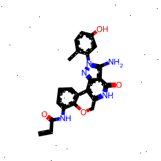 C=CC(=O)Nc1cccc2c1OCc1[nH]c(=O)c3c(N)n(-c4cc(O)ccc4C)nc3c1-2